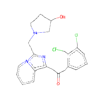 O=C(c1cccc(Cl)c1Cl)c1nc(CN2CCC(O)C2)n2ccccc12